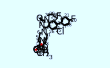 C=CC(=O)N1C2CN(c3nc(=O)n4c5c(c(-c6ccc(F)cc6F)c(Cl)cc35)SCC4)CC1CN(S(C)(=O)=O)C2